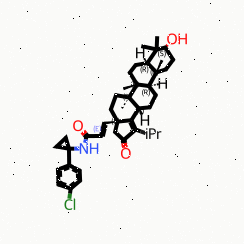 CC(C)C1=C2[C@H]3CC[C@@H]4[C@@]5(C)CC[C@H](O)C(C)(C)[C@@H]5CC[C@@]4(C)[C@]3(C)CC[C@@]2(/C=C/C(=O)NC2(c3ccc(Cl)cc3)CC2)CC1=O